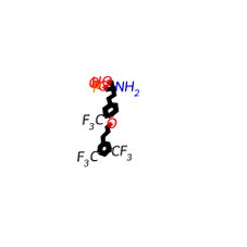 NC(CO)(CCc1ccc(OCCCc2cc(C(F)(F)F)cc(C(F)(F)F)c2)c(C(F)(F)F)c1)COP=O